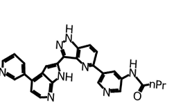 CCCC(=O)Nc1cncc(-c2ccc3[nH]nc(-c4cc5c(-c6cccnc6)ccnc5[nH]4)c3n2)c1